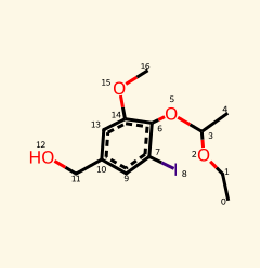 CCOC(C)Oc1c(I)cc(CO)cc1OC